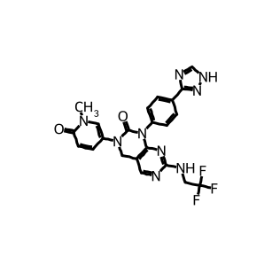 Cn1cc(N2Cc3cnc(NCC(F)(F)F)nc3N(c3ccc(-c4nc[nH]n4)cc3)C2=O)ccc1=O